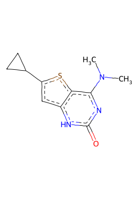 CN(C)c1nc(=O)[nH]c2cc(C3CC3)sc12